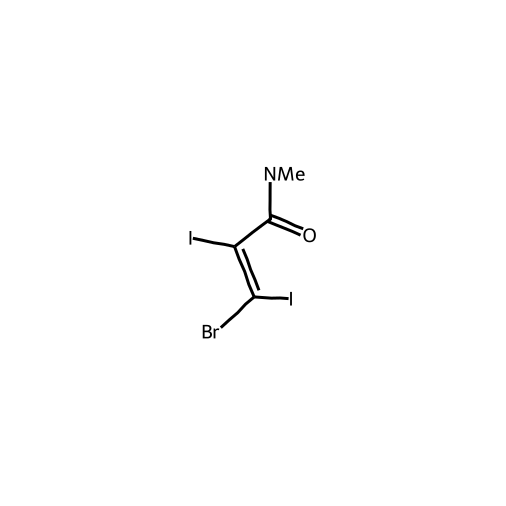 CNC(=O)C(I)=C(Br)I